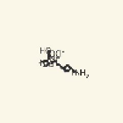 C[n+]1cccc(C(CC(=O)O)NC(=O)CCCCc2ccc(C=NN)cc2)c1.[Cl-]